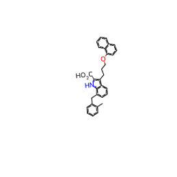 Cc1ccccc1Cc1cccc2c(CCCOc3cccc4ccccc34)c(C(=O)O)[nH]c12